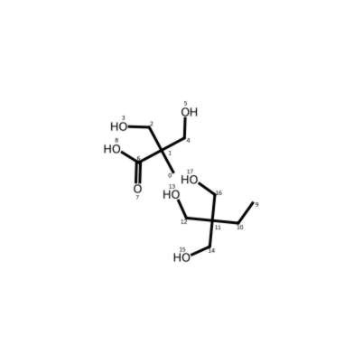 CC(CO)(CO)C(=O)O.CCC(CO)(CO)CO